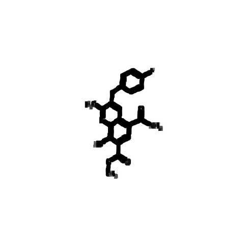 COC(=O)c1cc(C(N)=O)c2cc(Cc3ccc(F)cc3)c(C)nc2c1O